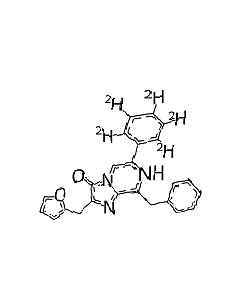 [2H]c1c([2H])c([2H])c(-c2cn3c(=O)c(Cc4ccco4)nc-3c(Cc3ccccc3)[nH]2)c([2H])c1[2H]